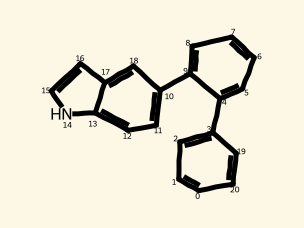 c1ccc(-c2ccccc2-c2ccc3[nH]ccc3c2)cc1